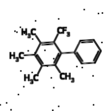 Cc1c(C)c(C)c(C(F)(F)F)c(-c2ccccc2)c1C